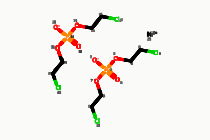 O=P([O-])(OCCCl)OCCCl.O=P([O-])(OCCCl)OCCCl.[Ni+2]